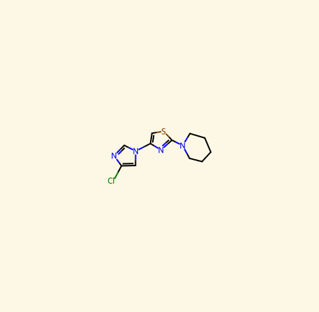 Clc1cn(-c2csc(N3CCCCC3)n2)cn1